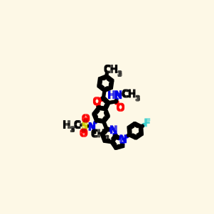 CNC(=O)c1c(-c2ccc(C)cc2)oc2cc(N(C)S(C)(=O)=O)c(-c3ccc4ccn(-c5ccc(F)cc5)c4n3)cc12